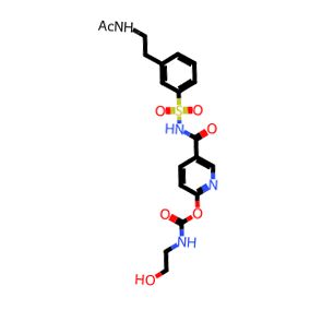 CC(=O)NCCc1cccc(S(=O)(=O)NC(=O)c2ccc(OC(=O)NCCO)nc2)c1